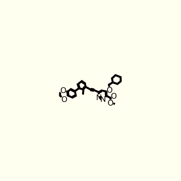 COC(=O)c1nnc(C#Cc2cccc(-c3ccc4c(c3)OCCO4)c2C)cc1OCC1CCCCC1